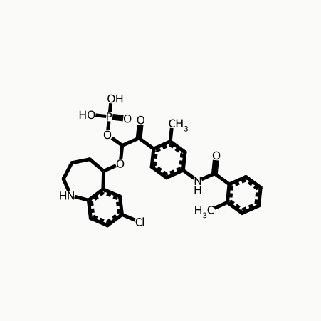 Cc1ccccc1C(=O)Nc1ccc(C(=O)C(OC2CCCNc3ccc(Cl)cc32)OP(=O)(O)O)c(C)c1